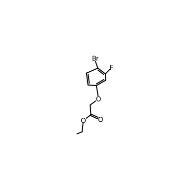 CCOC(=O)COc1ccc(Br)c(F)c1